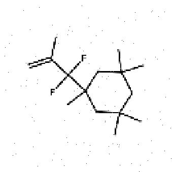 C=C(C)C(F)(F)C1(C)CC(C)(C)CC(C)(C)C1